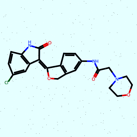 O=C(CN1CCOCC1)Nc1ccc2c(c1)COC2=C1C(=O)Nc2ccc(Cl)cc21